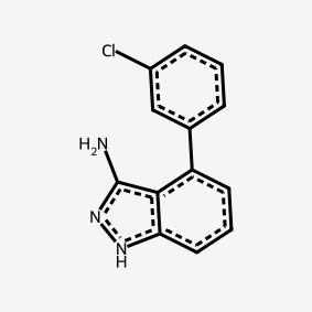 Nc1n[nH]c2cccc(-c3cccc(Cl)c3)c12